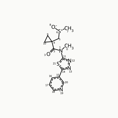 CN(C(=O)C1(C[S+](C)[O-])CC1)c1nnc(-c2cccnc2)s1